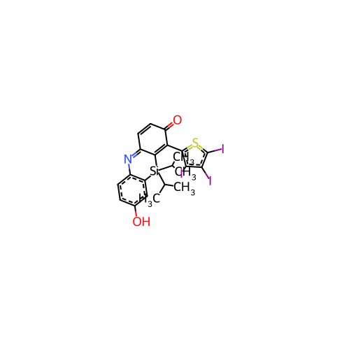 CC(C)[Si]1(C(C)C)C2=C(c3sc(I)c(I)c3I)C(=O)C=CC2=Nc2ccc(O)cc21